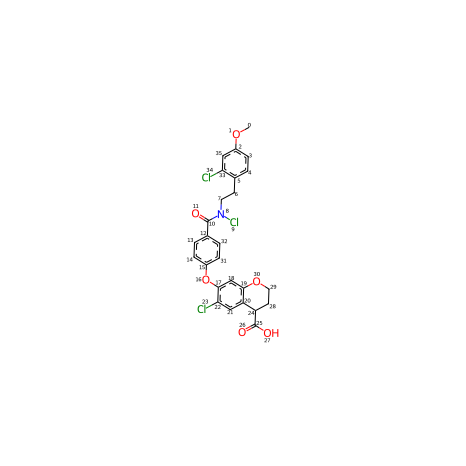 COc1ccc(CCN(Cl)C(=O)c2ccc(Oc3cc4c(cc3Cl)C(C(=O)O)CCO4)cc2)c(Cl)c1